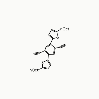 C#Cc1cc(-c2ccc(CCCCCCCC)s2)c(C#C)cc1-c1ccc(CCCCCCCC)s1